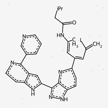 C=C(I)/C=C(\C=C(/C)NC(=O)CC(C)C)c1ccc2[nH]nc(-c3cc4c(-c5cccnc5)nccc4[nH]3)c2n1